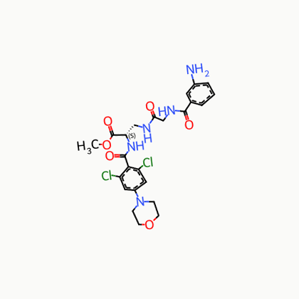 COC(=O)[C@H](CNC(=O)CNC(=O)c1cccc(N)c1)NC(=O)c1c(Cl)cc(N2CCOCC2)cc1Cl